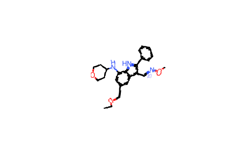 CCOCc1cc(NC2CCOCC2)c2[nH]c(-c3ccccc3)c(/C=N/OC)c2c1